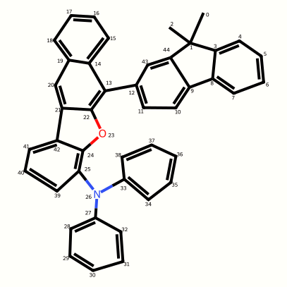 CC1(C)c2ccccc2-c2ccc(-c3c4ccccc4cc4c3oc3c(N(c5ccccc5)c5ccccc5)cccc34)cc21